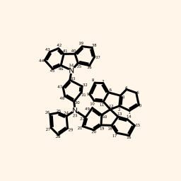 C1=CC2=C(CC1)c1ccccc1C21c2ccccc2-c2ccc(N(c3ccccc3)c3ccc(-n4c5ccccc5c5ccccc54)cc3)cc21